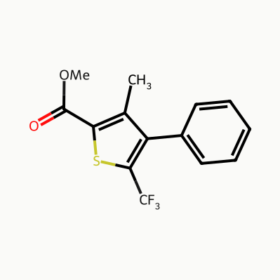 COC(=O)c1sc(C(F)(F)F)c(-c2ccccc2)c1C